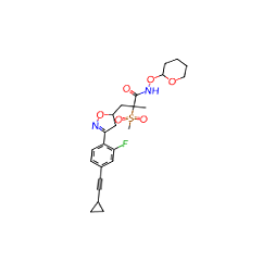 CC(CC1CC(c2ccc(C#CC3CC3)cc2F)=NO1)(C(=O)NOC1CCCCO1)S(C)(=O)=O